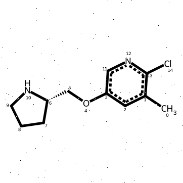 Cc1cc(OC[C@@H]2CCCN2)cnc1Cl